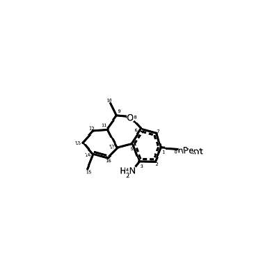 CCCCCc1cc(N)c2c(c1)OC(C)C1CCC(C)=CC21